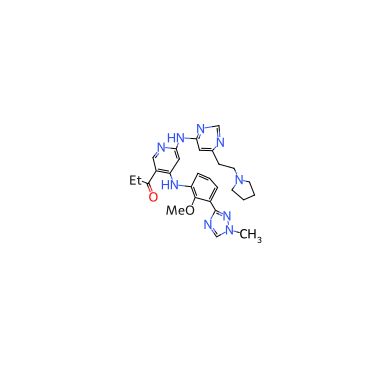 CCC(=O)c1cnc(Nc2cc(CCN3CCCC3)ncn2)cc1Nc1cccc(-c2ncn(C)n2)c1OC